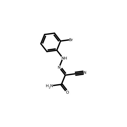 N#C/C(=N\Nc1ccccc1Br)C(N)=O